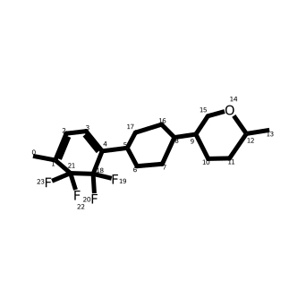 CC1=CC=C(C2CCC(C3CCC(C)OC3)CC2)C(F)(F)C1(F)F